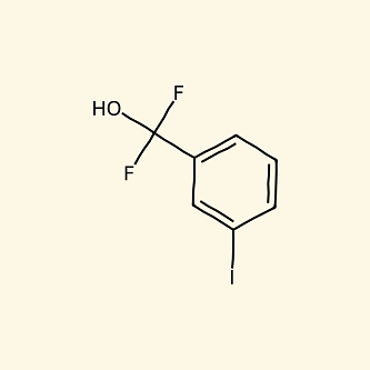 OC(F)(F)c1cccc(I)c1